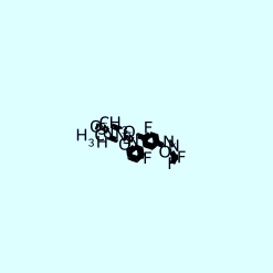 C[SH](C)(=O)N1CCN(S(=O)(=O)N(Cc2ccc(-c3nnc(C(F)F)o3)cc2F)c2cccc(F)c2)CC1